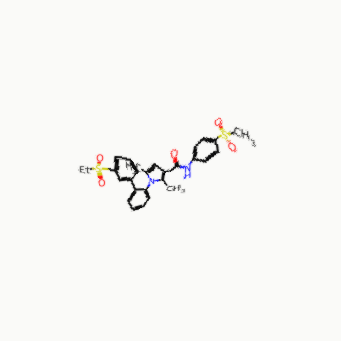 CCS(=O)(=O)c1cccc(-c2ccccc2-n2c(C)cc(C(=O)Nc3ccc(S(C)(=O)=O)cc3)c2C)c1